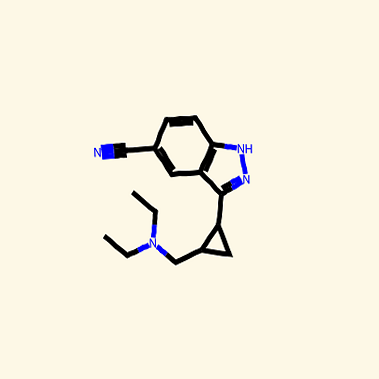 CCN(CC)CC1CC1c1n[nH]c2ccc(C#N)cc12